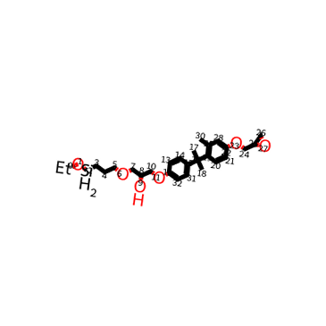 CCO[SiH2]CCCOCC(O)COc1ccc(C(C)(C)c2ccc(OCC3CO3)cc2C)cc1